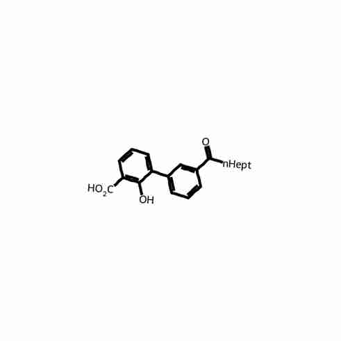 CCCCCCCC(=O)c1cccc(-c2cccc(C(=O)O)c2O)c1